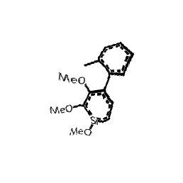 COc1c(-c2ccccc2C)cc[si](OC)c1OC